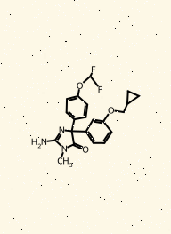 CN1C(=O)C(c2ccc(OC(F)F)cc2)(c2cccc(OCC3CC3)c2)N=C1N